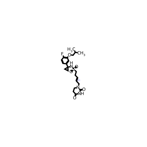 CC(C)COc1cc(C2(NS(=O)(=O)CC/C=C/CN3CCC(=O)NC3=O)CC2)ccc1F